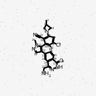 CC1CN(c2cc(Cl)c(F)c(-c3c(-c4ccc5c(=O)[nH]nc(CN)c5c4)cnn3C)c2C#N)C1